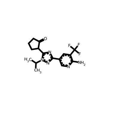 CC(C)n1nc(-c2cnc(N)c(C(F)(F)F)c2)nc1C1CCCC1=O